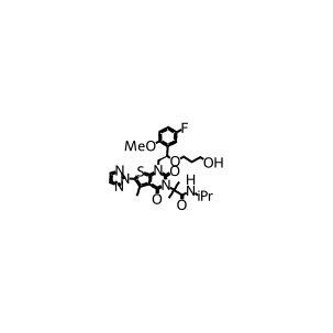 COc1ccc(F)cc1[C@H](Cn1c(=O)n(C(C)(C)C(=O)NC(C)C)c(=O)c2c(C)c(-n3nccn3)sc21)OCCCO